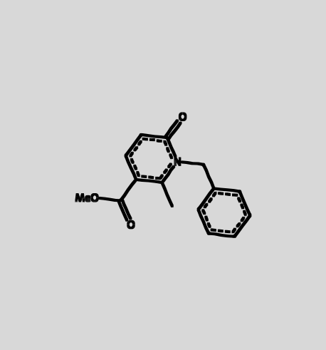 COC(=O)c1ccc(=O)n(Cc2ccccc2)c1C